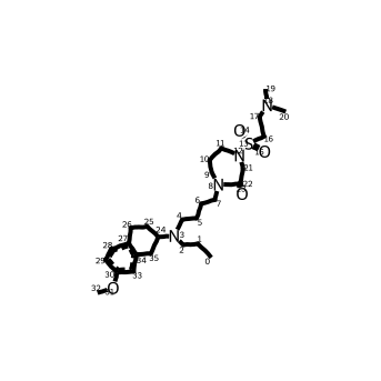 CCCN(CCCCN1CCCN(S(=O)(=O)CCN(C)C)CC1=O)C1CCc2ccc(OC)cc2C1